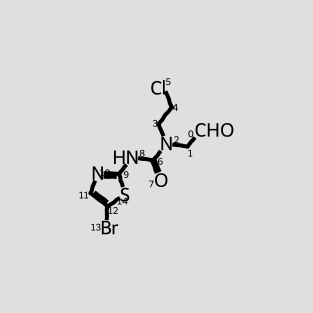 O=CCN(CCCl)C(=O)Nc1ncc(Br)s1